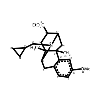 CCOC(=O)C1CC2(C)C3Cc4ccc(OC)cc4C2(C)CC1N3CC1CC1